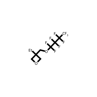 CCC1(COC(F)(F)C(F)(F)C(F)(F)C(F)(F)F)COC1